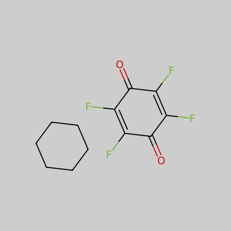 C1CCCCC1.O=C1C(F)=C(F)C(=O)C(F)=C1F